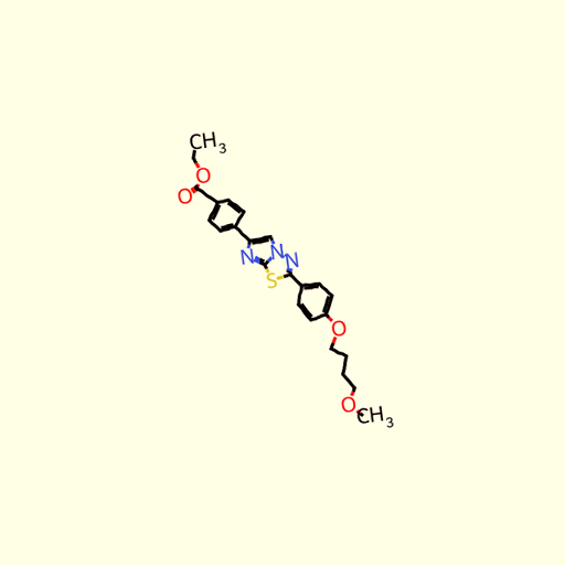 CCOC(=O)c1ccc(-c2cn3nc(-c4ccc(OCCCCOC)cc4)sc3n2)cc1